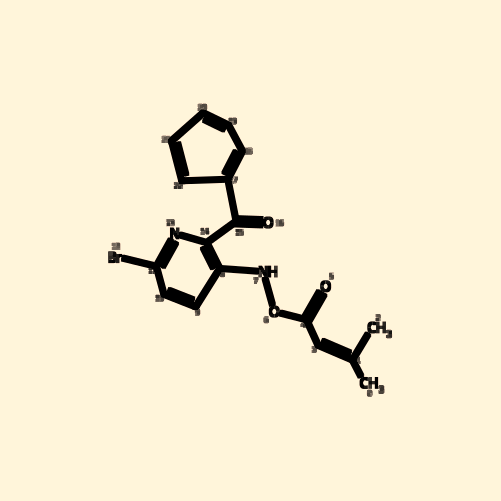 CC(C)=CC(=O)ONc1ccc(Br)nc1C(=O)c1ccccc1